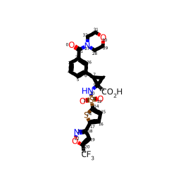 O=C(c1cccc(C2CC2(NS(=O)(=O)c2ccc(-c3cc(C(F)(F)F)on3)s2)C(=O)O)c1)N1CCOCC1